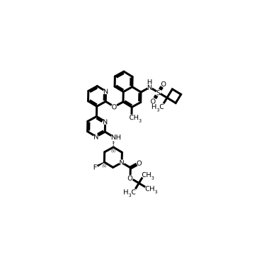 Cc1cc(NS(=O)(=O)C2(C)CCC2)c2ccccc2c1Oc1ncccc1-c1ccnc(N[C@H]2C[C@H](F)CN(C(=O)OC(C)(C)C)C2)n1